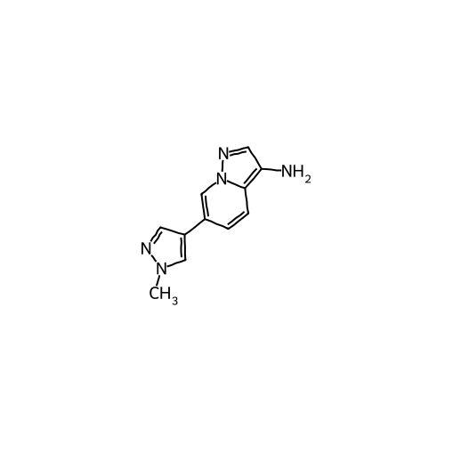 Cn1cc(-c2ccc3c(N)cnn3c2)cn1